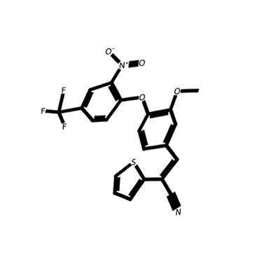 COc1cc(C=C(C#N)c2cccs2)ccc1Oc1ccc(C(F)(F)F)cc1[N+](=O)[O-]